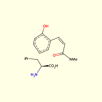 CC(C)C[C@H](N)C(=O)O.CNC(=O)/C=C\c1ccccc1O